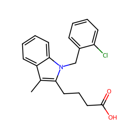 Cc1c(CCCC(=O)O)n(Cc2ccccc2Cl)c2ccccc12